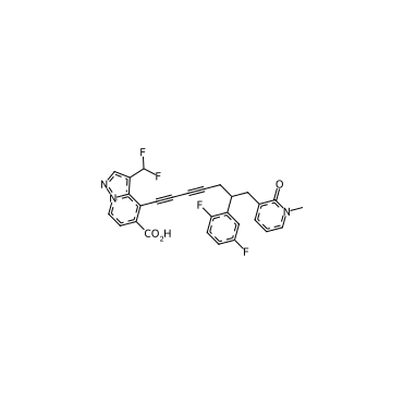 Cn1cccc(CC(CC#CC#Cc2c(C(=O)O)ccn3ncc(C(F)F)c23)c2cc(F)ccc2F)c1=O